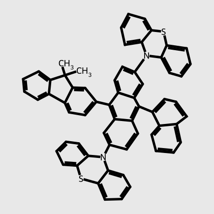 CC1(C)c2ccccc2-c2ccc(-c3c4cc(N5c6ccccc6Sc6ccccc65)ccc4c(-c4cccc5ccccc45)c4cc(N5c6ccccc6Sc6ccccc65)ccc34)cc21